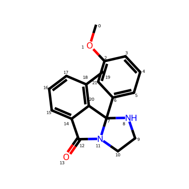 COc1cccc(C23NCCN2C(=O)c2cccc(C)c23)c1